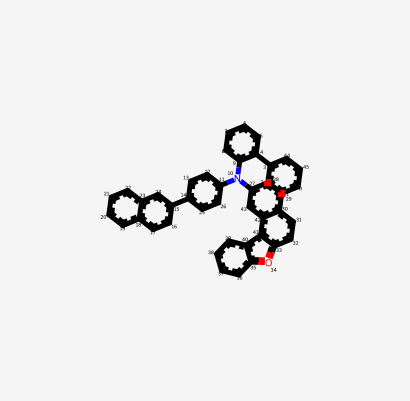 c1ccc(-c2ccccc2N(c2ccc(-c3ccc4ccccc4c3)cc2)c2ccc3ccc4oc5ccccc5c4c3c2)cc1